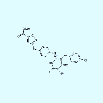 CCCn1c(=O)[nH]/c(=N\c2ccc(Oc3cc(C(=O)OC)sn3)cc2)n(Cc2ccc(Cl)cc2)c1=O